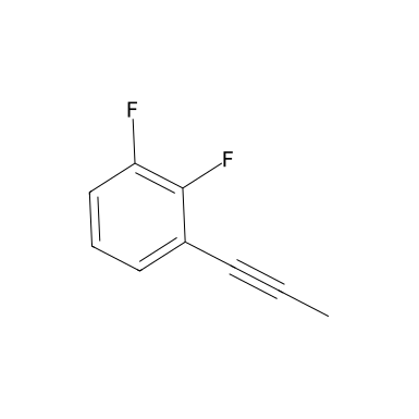 CC#Cc1cccc(F)c1F